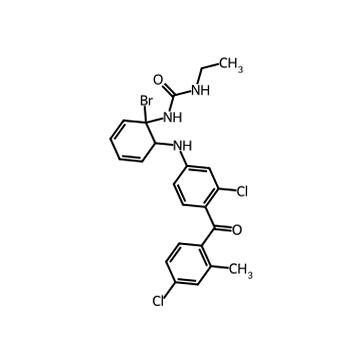 CCNC(=O)NC1(Br)C=CC=CC1Nc1ccc(C(=O)c2ccc(Cl)cc2C)c(Cl)c1